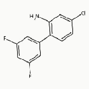 Nc1cc(Cl)ccc1-c1cc(F)cc(F)c1